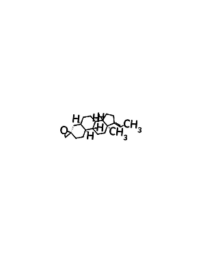 CC=C1CC[C@H]2[C@@H]3CC[C@@H]4C[C@]5(CC[C@@H]4[C@H]3CC[C@]12C)CO5